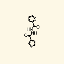 O=C(NNC(=O)c1cccs1)c1ccsc1